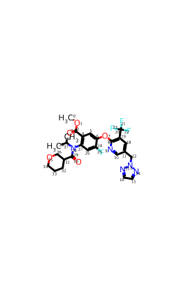 COC(=O)c1cc(Oc2ncc(Cn3nccn3)cc2C(F)(F)F)c(F)cc1N(C(=O)C1CCCOC1)C(C)C